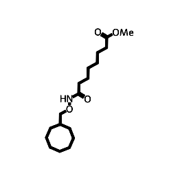 COC(=O)CCCCCCC(=O)NOCC1CCCCCCC1